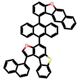 c1ccc2cc3c(cc2c1)oc1cccc(-c2c4ccccc4c(-c4cc5sc6ccccc6c5c5c(-c6cccc7ccccc67)coc45)c4ccccc24)c13